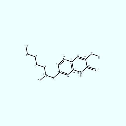 CCCCCN(C)Cc1cnc2cc(CC)c(=O)[nH]c2c1